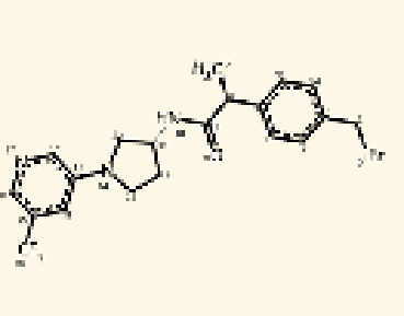 CC(C)Cc1ccc([C@H](C)C(=O)N[C@@H]2CCN(c3cncc(C(F)(F)F)c3)C2)cc1